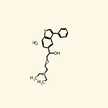 CCN(CC)CCOCC(O)c1ccc2scc(-c3ccccc3)c2c1.Cl